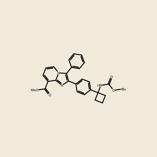 COC(=O)c1cccn2c(-c3ccccc3)c(-c3ccc(C4(NC(=O)OC(C)(C)C)CCC4)cc3)nc12